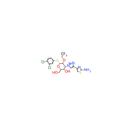 Nc1nc(-c2cn(C3C(OCC(F)(F)F)[C@@H](Sc4ccc(Cl)c(Cl)c4)OC(CO)[C@@H]3O)nn2)cs1